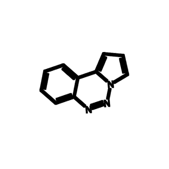 c1ccc2c(c1)nnn1cccc21